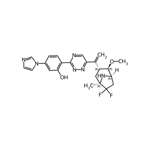 C=C(c1cnc(-c2ccc(-n3ccnc3)cc2O)nn1)[C@H]1C[C@@]2(C)N[C@H](CC2(F)F)[C@@H]1OC